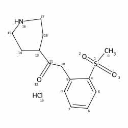 CS(=O)(=O)c1ccccc1CC(=O)C1CCNCC1.Cl